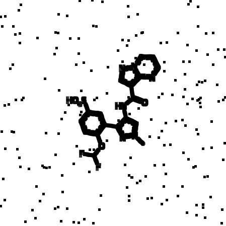 Cn1cc(NC(=O)c2cnn3cccnc23)c(-c2cc(S(=O)(=O)O)ccc2OC(F)F)n1